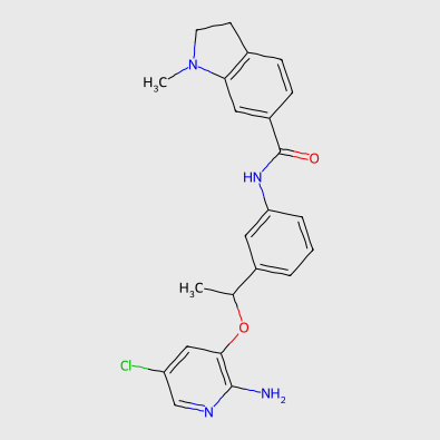 CC(Oc1cc(Cl)cnc1N)c1cccc(NC(=O)c2ccc3c(c2)N(C)CC3)c1